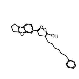 O=C(C[C@H](CCCCCCc1ccccc1)C(=O)O)c1ccc2c3c(oc2c1)CCC3